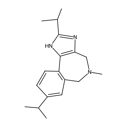 CC(C)c1ccc2c(c1)CN(C)Cc1nc(C(C)C)[nH]c1-2